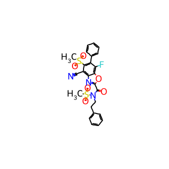 CS(=O)(=O)c1c(-c2ccccc2)c(F)c2oc(C(=O)N(CCc3ccccc3)S(C)(=O)=O)nc2c1C#N